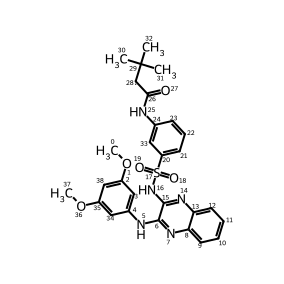 COc1cc(Nc2nc3ccccc3nc2NS(=O)(=O)c2cccc(NC(=O)[CH]C(C)(C)C)c2)cc(OC)c1